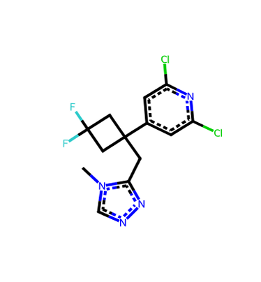 Cn1cnnc1CC1(c2cc(Cl)nc(Cl)c2)CC(F)(F)C1